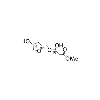 COC(=O)C[C@H](O)OC[C@H]1C[C@H](O)CO1